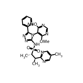 COc1ncnc(OC)c1-n1c(NS(=O)(=O)[C@@H](C)[C@H](C)c2ncc(C)cn2)nnc1-c1ccccn1